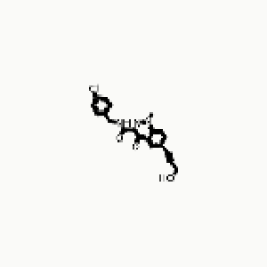 Cn1nc(C(=O)NCc2ccc(Cl)cc2)c(=O)c2cc(C#CCO)ccc21